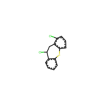 Clc1cccc2c1CC(Cl)c1ccccc1S2